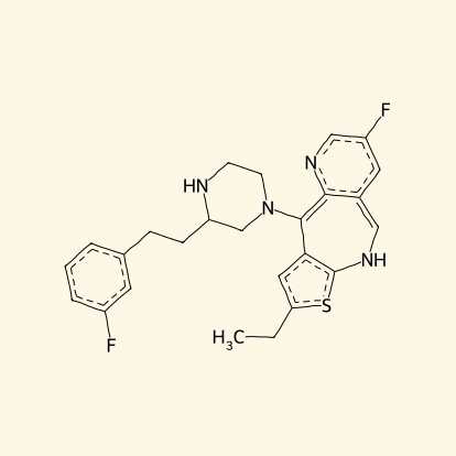 CCc1cc2c(s1)NC=c1cc(F)cnc1=C2N1CCNC(CCc2cccc(F)c2)C1